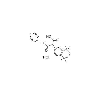 CC1(C)CCC(C)(C)c2cc(C(C(=O)O)C(=O)OCc3ccccc3)ccc21.Cl